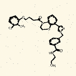 Cc1c(Cl)cccc1OCCCC(=O)N1CCSc2c(-c3cnn(Cc4cccc(C(=O)NCCO)c4)c3)cccc21